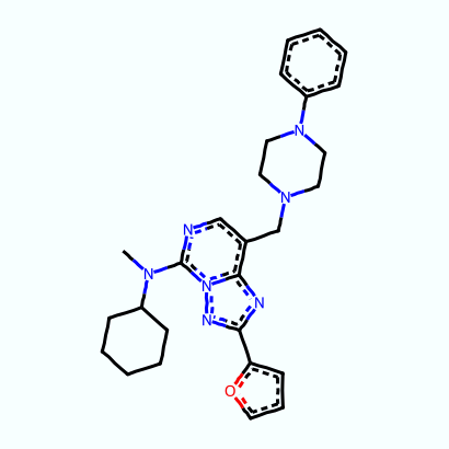 CN(c1ncc(CN2CCN(c3ccccc3)CC2)c2nc(-c3ccco3)nn12)C1CCCCC1